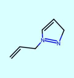 C=CC[N+]1=NCC=C1